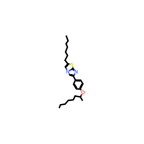 CCCCCCCc1cn2cc(-c3ccc(OC(C)CCCCCC)cc3)nc2s1